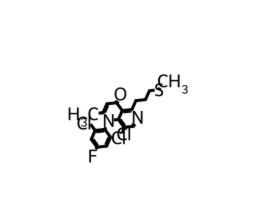 CSCCCc1ncc(Cl)c2c1c(=O)cc(C)n2-c1c(Cl)cc(F)cc1Cl